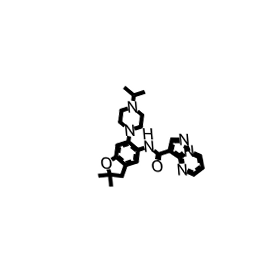 CC(C)N1CCN(c2cc3c(cc2NC(=O)c2cnn4cccnc24)CC(C)(C)O3)CC1